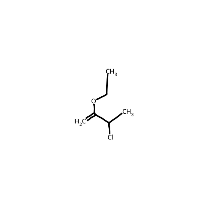 C=C(OCC)C(C)Cl